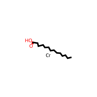 CCCCCCCCCCCCCC(=O)O.[Cr]